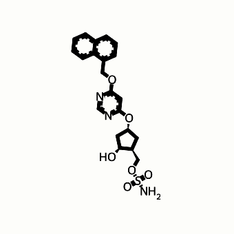 NS(=O)(=O)OC[C@@H]1C[C@@H](Oc2cc(OCc3cccc4ccccc34)ncn2)C[C@@H]1O